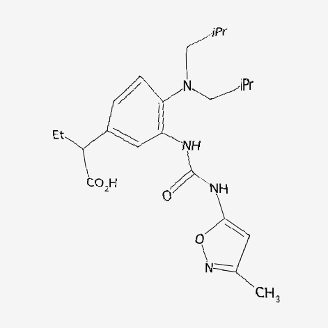 CCC(C(=O)O)c1ccc(N(CC(C)C)CC(C)C)c(NC(=O)Nc2cc(C)no2)c1